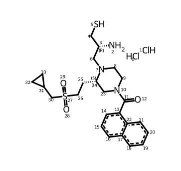 Cl.Cl.N[C@@H](CS)CN1CCN(C(=O)c2cccc3ccccc23)C[C@@H]1CCS(=O)(=O)CC1CC1